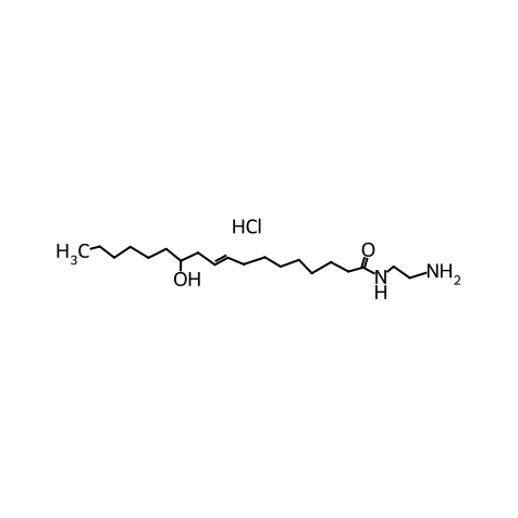 CCCCCCC(O)CC=CCCCCCCCC(=O)NCCN.Cl